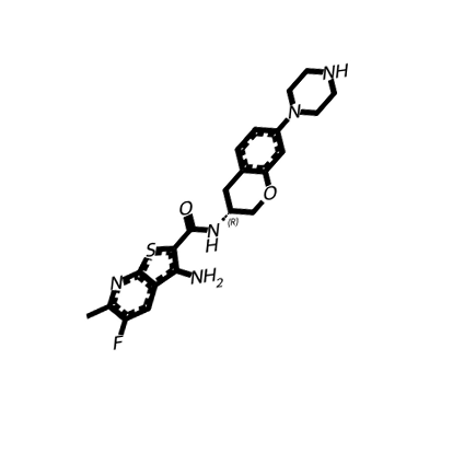 Cc1nc2sc(C(=O)N[C@H]3COc4cc(N5CCNCC5)ccc4C3)c(N)c2cc1F